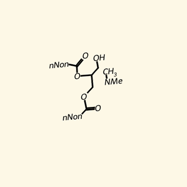 CCCCCCCCCC(=O)OCC(CO)OC(=O)CCCCCCCCC.CNC